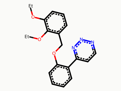 CCOc1cccc(COc2ccccc2-c2ccnnn2)c1OCC